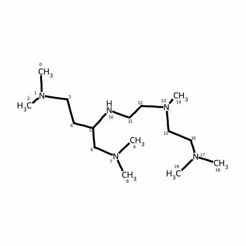 CN(C)CCC(CN(C)C)NCCN(C)CCN(C)C